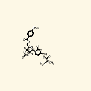 COc1ccc(C(=O)OC[C@H]2O[C@@H](n3ccc(NOC(=O)[C@@H](C)N)nc3=O)[C@@H]3OC(=O)O[C@@H]32)cc1